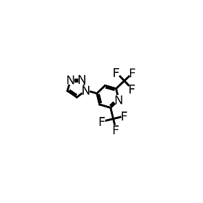 FC(F)(F)c1cc(-n2ccnn2)cc(C(F)(F)F)n1